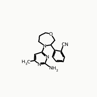 Cc1cc(N2CCCOCC2c2ccccc2C#N)nc(N)n1